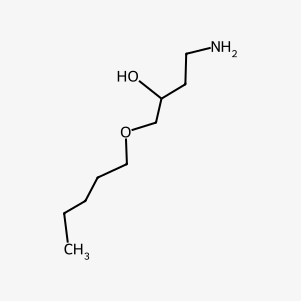 CCCCCOCC(O)CCN